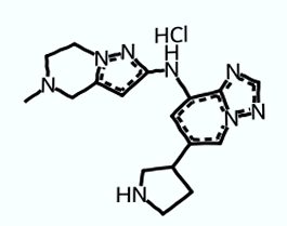 CN1CCn2nc(Nc3cc(C4CCNC4)cn4ncnc34)cc2C1.Cl